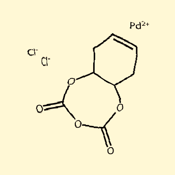 O=C1OC(=O)OC2CC=CCC2O1.[Cl-].[Cl-].[Pd+2]